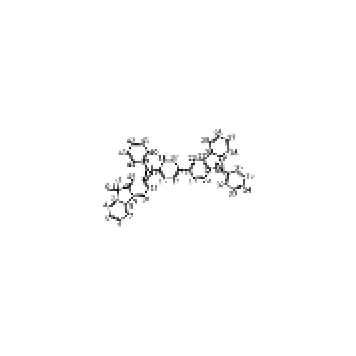 CC1(C)c2ccccc2-c2ccc(N(C3=CC=C(c4ccc5c(c4)C4C=CC=CC4N5c4ccccc4)CC3)c3ccccc3)cc21